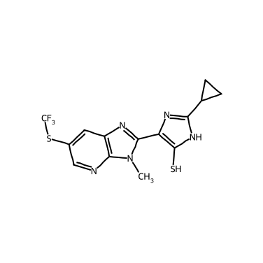 Cn1c(-c2nc(C3CC3)[nH]c2S)nc2cc(SC(F)(F)F)cnc21